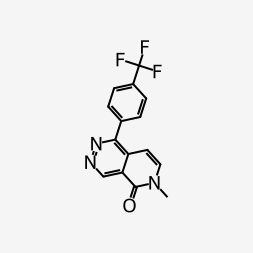 Cn1ccc2c(-c3ccc(C(F)(F)F)cc3)nncc2c1=O